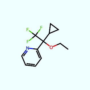 CCOC(c1ccccn1)(C1CC1)C(F)(F)F